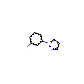 Brc1cccc(-n2c[c]cn2)c1